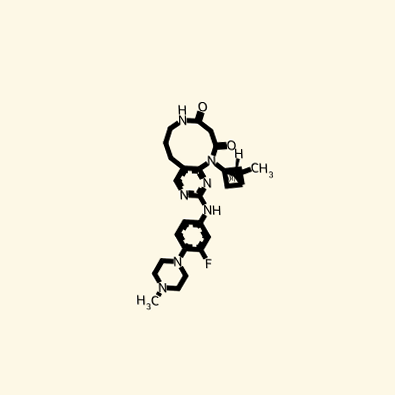 C[C@@H]1C2CC1(N1C(=O)CC(=O)NCCCc3cnc(Nc4ccc(N5CCN(C)CC5)c(F)c4)nc31)C2